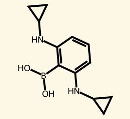 OB(O)c1c(NC2CC2)cccc1NC1CC1